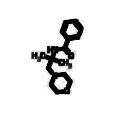 CC(C)(CN1CCOCC1)NC(=O)c1cc[c]cc1